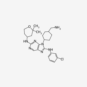 CC1(C)CC(Nc2ncc3nc(Nc4cccc(Cl)c4)n(C4CCC(CN)CC4)c3n2)CCO1